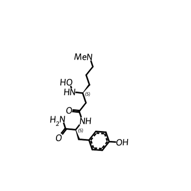 CNCCC[C@@H](CC(=O)N[C@@H](Cc1ccc(O)cc1)C(N)=O)NO